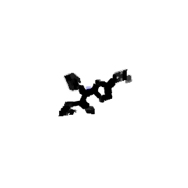 CCCOC(=O)/C(C#N)=C1\SC=C(C)S1